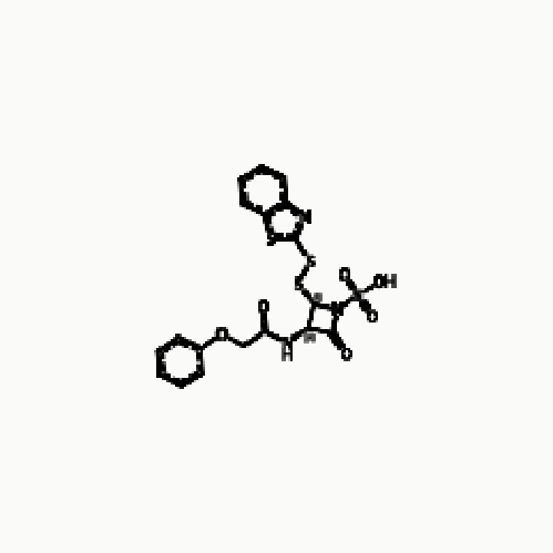 O=C(COc1ccccc1)N[C@@H]1C(=O)N(S(=O)(=O)O)[C@@H]1SSc1nc2ccccc2s1